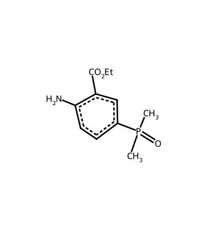 CCOC(=O)c1cc(P(C)(C)=O)ccc1N